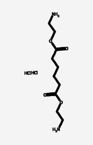 Cl.Cl.NCCOC(=O)CCCCC(=O)OCCN